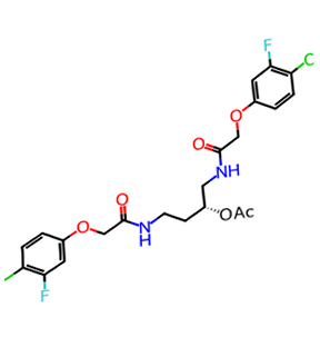 CC(=O)O[C@H](CCNC(=O)COc1ccc(Cl)c(F)c1)CNC(=O)COc1ccc(Cl)c(F)c1